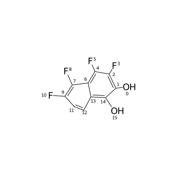 Oc1c(F)c(F)c2c(F)c(F)ccc2c1O